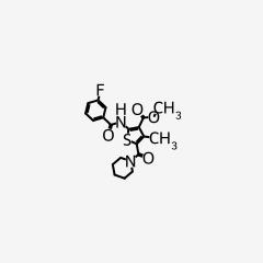 COC(=O)c1c(NC(=O)c2cccc(F)c2)sc(C(=O)N2CCCCC2)c1C